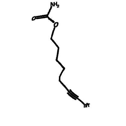 CCCC#CCCCCCOC(N)=O